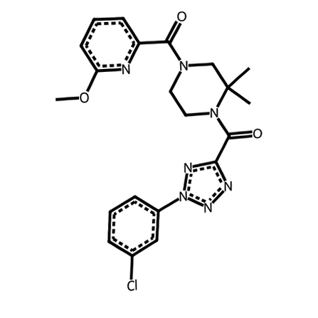 COc1cccc(C(=O)N2CCN(C(=O)c3nnn(-c4cccc(Cl)c4)n3)C(C)(C)C2)n1